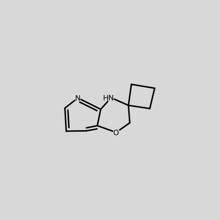 c1cnc2c(c1)OCC1(CCC1)N2